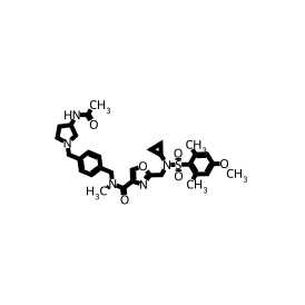 COc1cc(C)c(S(=O)(=O)N(Cc2nc(C(=O)N(C)Cc3ccc(CN4CCC(NC(C)=O)C4)cc3)co2)C2CC2)c(C)c1